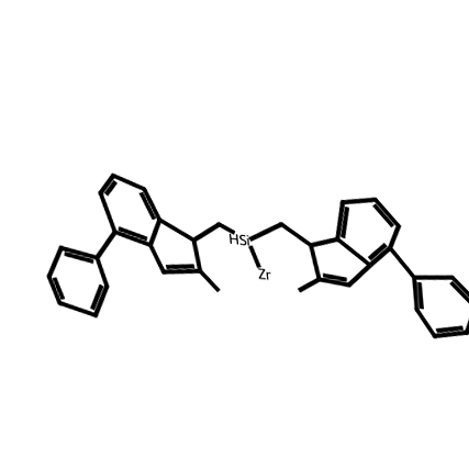 CC1=Cc2c(-c3ccccc3)cccc2C1C[SiH]([Zr])CC1C(C)=Cc2c(-c3ccccc3)cccc21